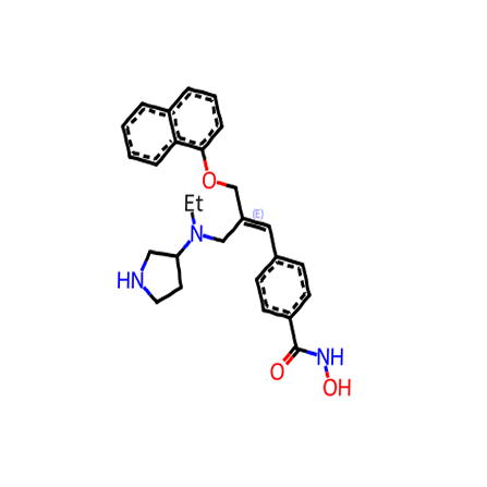 CCN(C/C(=C\c1ccc(C(=O)NO)cc1)COc1cccc2ccccc12)C1CCNC1